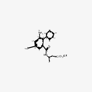 CCOC(=O)CC(C)NC(=O)c1cc(I)cc(N)c1-c1ccccc1